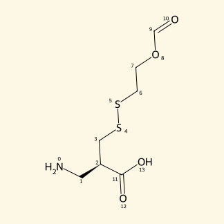 NC[C@@H](CSSCCOC=O)C(=O)O